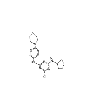 Clc1nc(Nc2ccc(N3CCOCC3)nc2)nc(NC2CCCC2)n1